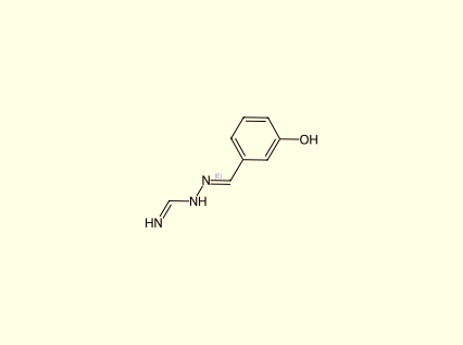 N=CN/N=C/c1cccc(O)c1